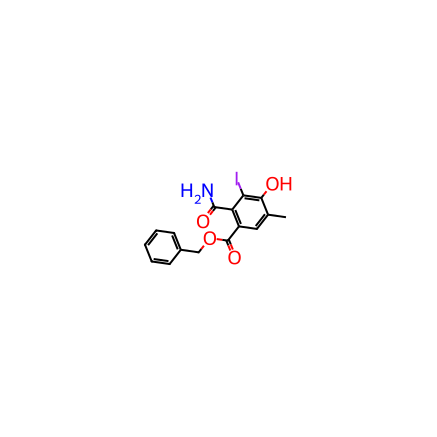 Cc1cc(C(=O)OCc2ccccc2)c(C(N)=O)c(I)c1O